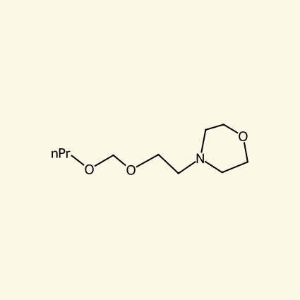 CCCOCOCCN1CCOCC1